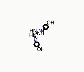 N=C(N/N=C/c1ccc(O)cc1)N/N=C/c1ccc(O)cc1